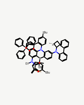 C=C(S)/C=C\C(C)(B1c2ccc(N(c3ccccc3-c3ccccc3)C3CC[C@H]3C)cc2N(c2ccc(C(C)(C)C)cc2-c2ccccc2)c2cc([Si](c3ccccc3)(c3ccccc3)c3ccccc3)cc(N(CC)c3ccc(C(C)(C)C)cc3)c21)C(C)(C)C